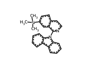 C[Si](C)(C)c1ccc2ccnc(-n3c4ccccc4c4ccccc43)c2c1